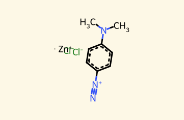 CN(C)c1ccc([N+]#N)cc1.[Cl-].[Cl-].[Zn+]